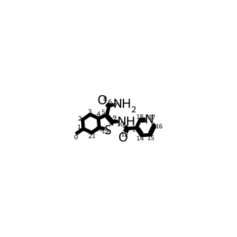 CC1CCC2C(C(N)=O)=C(NC(=O)c3cccnc3)SC2C1